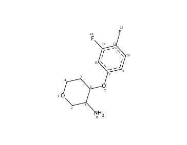 NC1COCCC1Oc1ccc(F)c(F)c1